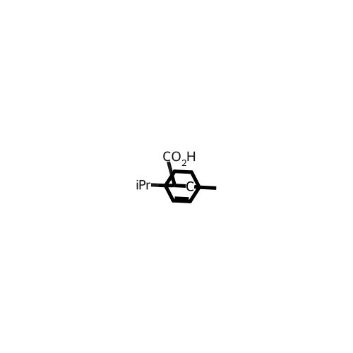 CC(C)C12C=CC(C)(CC1)CC2C(=O)O